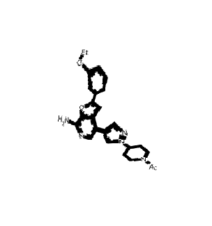 CCOc1cccc(-c2cc3c(-c4cnn(C5CCN(C(C)=O)CC5)c4)cnc(N)c3o2)c1